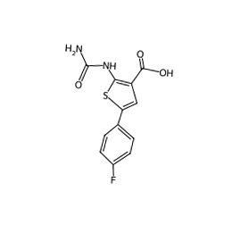 NC(=O)Nc1sc(-c2ccc(F)cc2)cc1C(=O)O